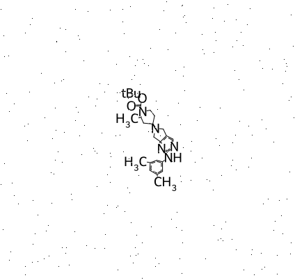 Cc1cc(C)cc(Nc2ncc3c(n2)CN([C@@H]2CCN(C(=O)OC(C)(C)C)[C@H](C)C2)C3)c1